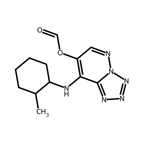 CC1CCCCC1Nc1c(OC=O)cnn2nnnc12